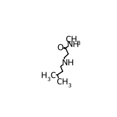 CNC(=O)CCNCCC(C)C